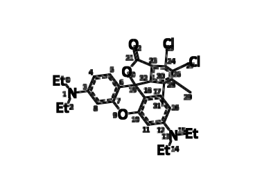 CCN(CC)c1ccc2c(c1)Oc1cc(N(CC)CC)ccc1C21OC(=O)c2c(Cl)c(Cl)c(C)c(C)c21